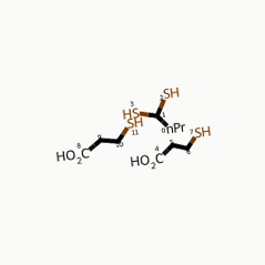 CCCC(S)S.O=C(O)CCS.O=C(O)CCS